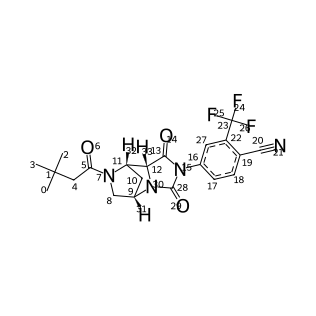 CC(C)(C)CC(=O)N1C[C@@H]2C[C@H]1[C@@H]1C(=O)N(c3ccc(C#N)c(C(F)(F)F)c3)C(=O)N21